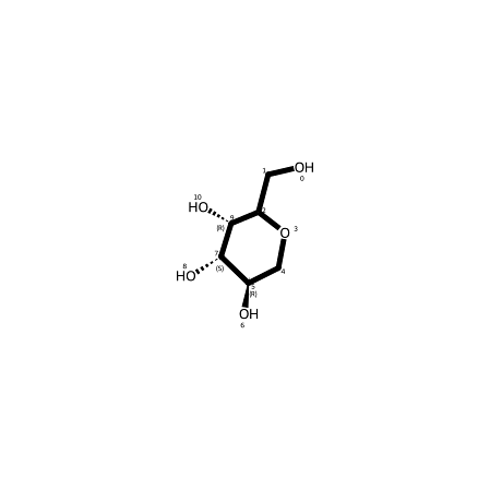 OC[C]1OC[C@@H](O)[C@H](O)[C@@H]1O